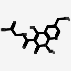 CCc1cnc2c(c1)c(O)c(C(=O)NCC(=O)O)c(=O)n2C